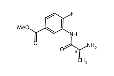 COC(=O)c1ccc(F)c(NC(=O)[C@H](C)N)c1